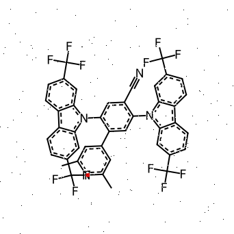 Cc1cc(-c2cc(-n3c4cc(C(F)(F)F)ccc4c4ccc(C(F)(F)F)cc43)c(C#N)cc2-n2c3cc(C(F)(F)F)ccc3c3ccc(C(F)(F)F)cc32)cc(C)n1